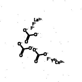 O=C([O-])[O-].O=C([O-])[O-].O=C([O-])[O-].[Ce+3].[F-].[F-].[F-].[La+3].[Y+3]